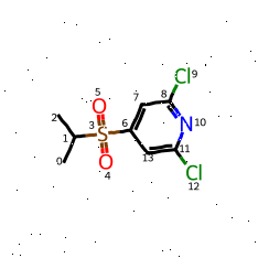 CC(C)S(=O)(=O)c1cc(Cl)nc(Cl)c1